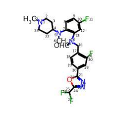 CN1CCC(N(C)c2ccc(F)cc2N(C=O)Cc2ccc(-c3nnc(C(F)F)o3)cc2F)CC1